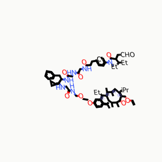 C=COC/C1=C(C(C)C)/C=C(C)/C(C)=C(/C(CC)=c2/cc(OCCOCNC(=O)CNC(=C3CC3)C(Cc3ccccc3)NC(=O)CNC(=O)CNC(=O)CCc3ccc(N(C)C(=O)C(CC=O)C(CC)CC)cc3)ccc2=C(C)C)CC(C)C(C)C1=O